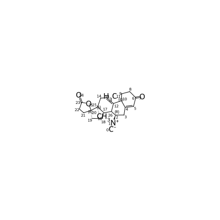 [C-]#[N+][C@@H]1CC2=CC(=O)CC[C@]2(C)C2=CC[C@@]3(C)C(CC[C@@]34CCC(=O)O4)C21